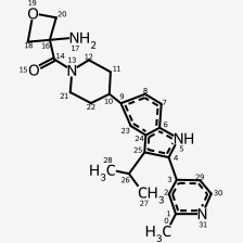 Cc1cc(-c2[nH]c3ccc(C4CCN(C(=O)C5(N)COC5)CC4)cc3c2C(C)C)ccn1